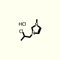 CC(Cl)CN1C=CN(C)C1.Cl